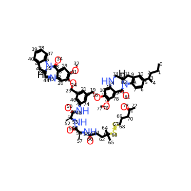 CCCC(C)c1ccc2c(c1)C[C@H]1CNc3cc(OCc4cc(COc5cc6c(cc5OC)C(=O)N5c7ccccc7C[C@H]5C=N6)cc(NC(=O)[C@H](C)NC(=O)[C@H](C)NC(=O)CCC(C)(C)SSCCCC(C)=O)c4)c(OC)cc3C(=O)N21